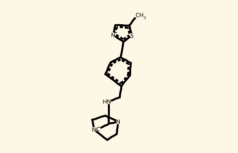 Cc1cnc(-c2ccc(CNC3CN4CCN3CC4)cc2)s1